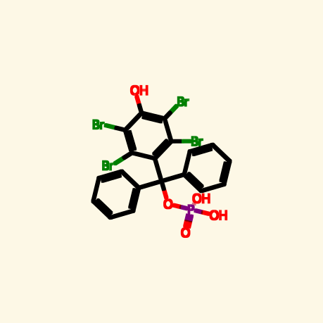 O=P(O)(O)OC(c1ccccc1)(c1ccccc1)c1c(Br)c(Br)c(O)c(Br)c1Br